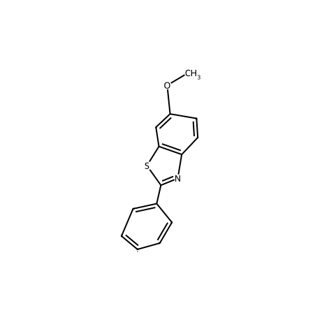 COc1ccc2nc(-c3cc[c]cc3)sc2c1